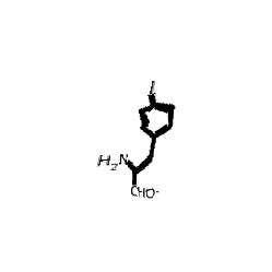 NC([C]=O)Cc1ccc(I)cc1